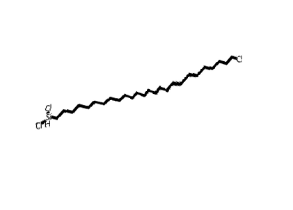 ClCCCCCCCCCCCCCCCCCCCCCCCCCC[SiH](Cl)Cl